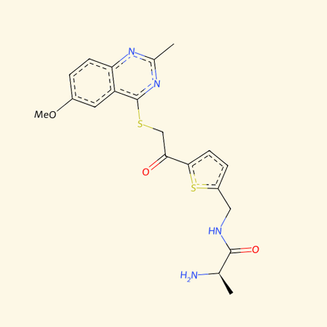 COc1ccc2nc(C)nc(SCC(=O)c3ccc(CNC(=O)[C@@H](C)N)s3)c2c1